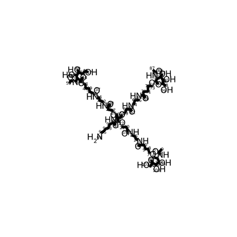 CC(=O)NC1C(OCCCCC(=O)NCCCNC(=O)CCOCC(COCCC(=O)NCCCNC(=O)CCCCOC2OC(CO)C(O)C(O)C2NC(C)=O)(COCCC(=O)NCCCNC(=O)CCCCOC2OC(CO)C(O)C(O)C2NC(C)=O)NC(=O)CCCCCN)OC(CO)C(O)C1O